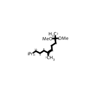 COC(C)(CCC=C(C)CCCC(C)C)OC